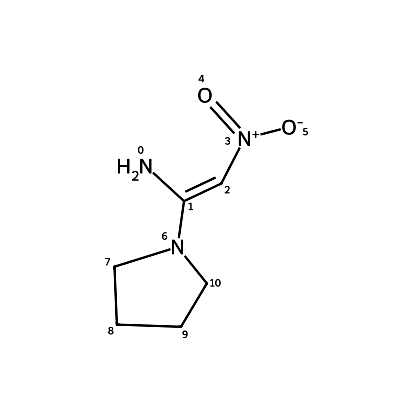 N/C(=C\[N+](=O)[O-])N1CCCC1